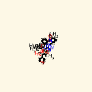 COc1cccc(-c2nnc(N(CC[Si](C)(C)C)S(=O)(=O)[C@H](C)[C@@H](O)C3CCOCC3)n2-c2c(OC)cccc2OC)n1